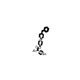 CC(=O)C(C(=O)ON1CCN(N2CCC(Cc3ccccc3)CC2)CC1)N1CCNCC1